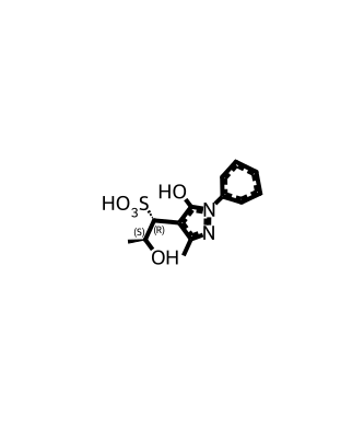 Cc1nn(-c2ccccc2)c(O)c1[C@H]([C@H](C)O)S(=O)(=O)O